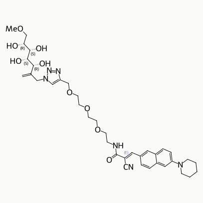 C=C(Cn1cc(COCCOCCOCCNC(=O)/C(C#N)=C/c2ccc3cc(N4CCCCC4)ccc3c2)nn1)[C@@H](O)[C@H](O)[C@@H](O)[C@H](O)COC